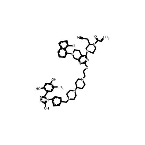 C=CC(=O)N1CCN(c2nc(OCCN3CCC(N4CCN(Cc5ccc(-n6c(O)nnc6-c6cc(C)c(O)cc6O)cc5)CC4)CC3)nc3c2CCN(c2cccc4cccc(Cl)c24)C3)CC1CC#N